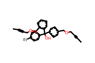 CC#CCOCc1ccc(C(O)(c2ccc(CC)cc2)c2ccccc2COCC#CC)cc1